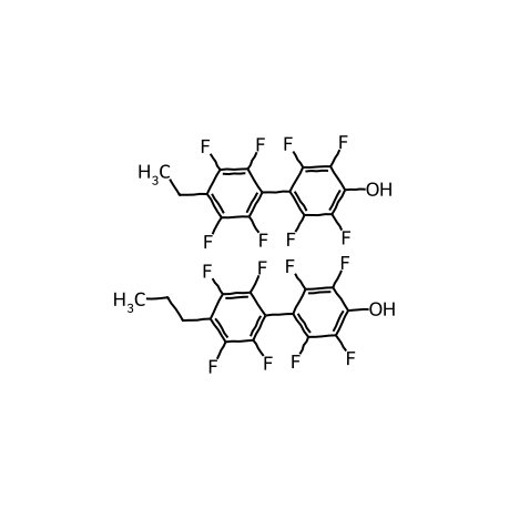 CCCc1c(F)c(F)c(-c2c(F)c(F)c(O)c(F)c2F)c(F)c1F.CCc1c(F)c(F)c(-c2c(F)c(F)c(O)c(F)c2F)c(F)c1F